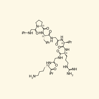 CC(C)C[C@H](NC(=O)[C@@H]1CCCN1C(=O)CNC(C)C)C(=O)NCC(=O)N[C@H](C(=O)N[C@@H](CCCNC(=N)N)C(=O)NCC(=O)N[C@@H](CCCCN)C(=O)C(C)C)C(C)C